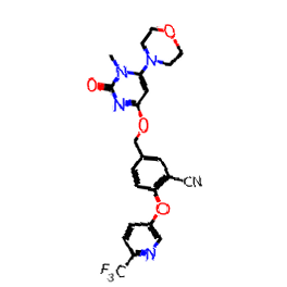 Cn1c(N2CCOCC2)cc(OCc2ccc(Oc3ccc(C(F)(F)F)nc3)c(C#N)c2)nc1=O